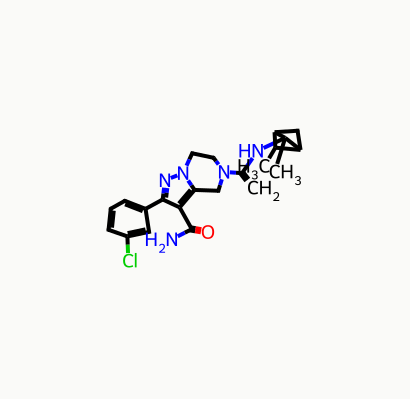 C=C(NC1(C)C2CC1C2C)N1CCn2nc(-c3cccc(Cl)c3)c(C(N)=O)c2C1